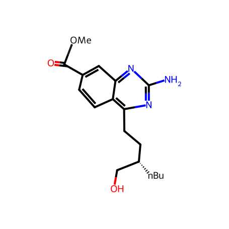 CCCC[C@H](CO)CCc1nc(N)nc2cc(C(=O)OC)ccc12